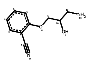 N#Cc1ccccc1OCC(O)CN